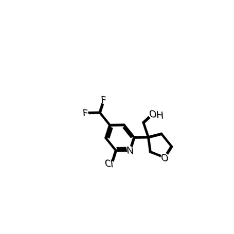 OCC1(c2cc(C(F)F)cc(Cl)n2)CCOC1